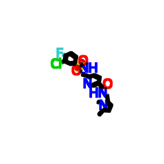 Cc1ccc(CNC(=O)c2ccc(CNS(=O)(=O)c3ccc(F)c(Cl)c3)nc2)n1C